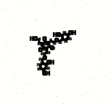 O=c1n(CCO)c(=O)n(CCOCc2ccc(O)cc2O)c(=O)n1CCOCc1ccc(O)cc1O